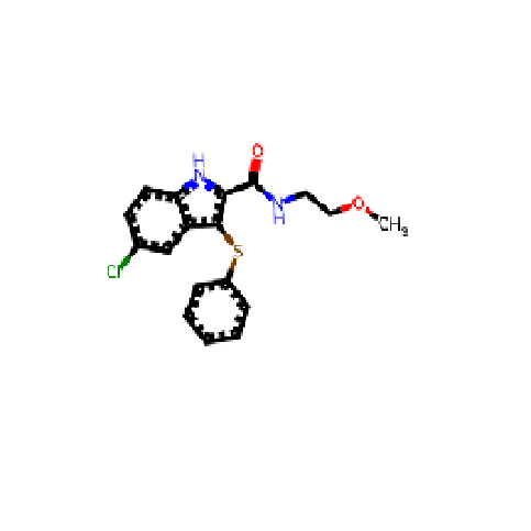 COCCNC(=O)c1[nH]c2ccc(Cl)cc2c1Sc1ccccc1